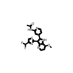 COc1ccnc2c(-c3nc(C(F)F)cs3)c(-c3ccnc(NC(C)=O)c3)[nH]c12